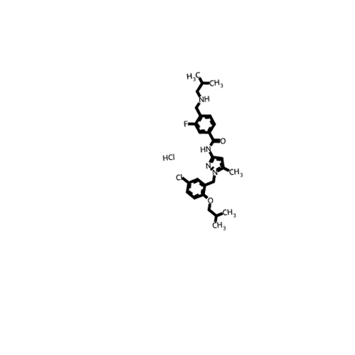 Cc1cc(NC(=O)c2ccc(CNCC(C)C)c(F)c2)nn1Cc1cc(Cl)ccc1OCC(C)C.Cl